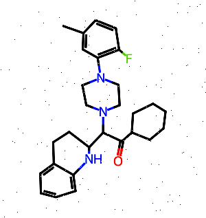 Cc1ccc(F)c(N2CCN(C(C(=O)C3CCCCC3)C3CCc4ccccc4N3)CC2)c1